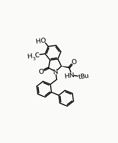 Cc1c(O)ccc2c1C(=O)N(Cc1ccccc1-c1ccccc1)[C@@H]2C(=O)NC(C)(C)C